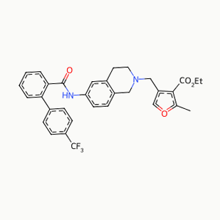 CCOC(=O)c1c(CN2CCc3cc(NC(=O)c4ccccc4-c4ccc(C(F)(F)F)cc4)ccc3C2)coc1C